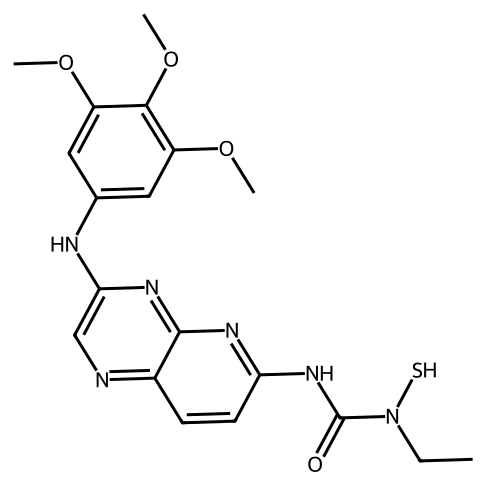 CCN(S)C(=O)Nc1ccc2ncc(Nc3cc(OC)c(OC)c(OC)c3)nc2n1